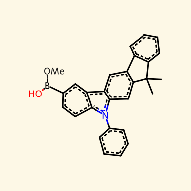 COB(O)c1ccc2c(c1)c1cc3c(cc1n2-c1ccccc1)C(C)(C)c1ccccc1-3